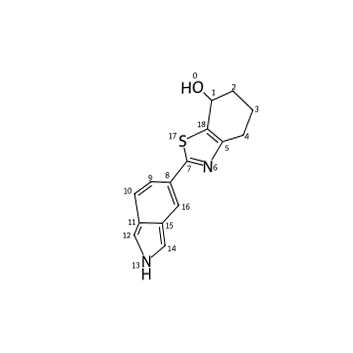 OC1CCCc2nc(-c3ccc4c[nH]cc4c3)sc21